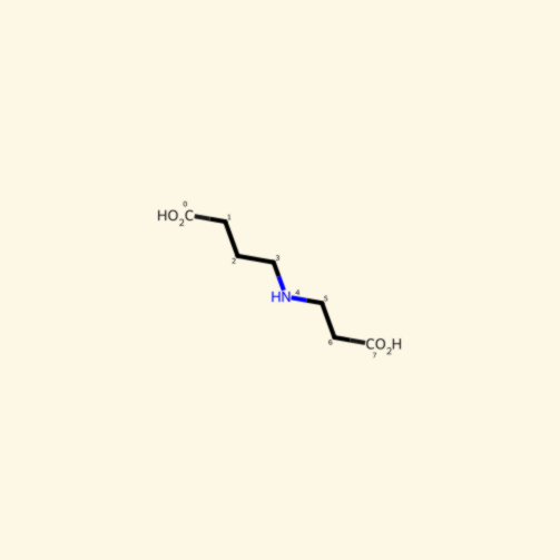 O=C(O)CCCNCCC(=O)O